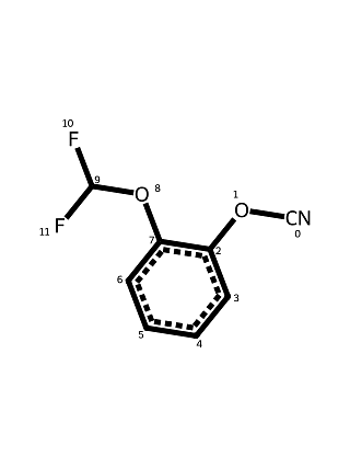 N#COc1ccccc1OC(F)F